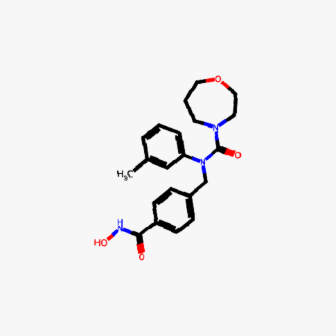 Cc1cccc(N(Cc2ccc(C(=O)NO)cc2)C(=O)N2CCCOCC2)c1